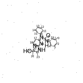 Cc1cccc(NC(=O)N(c2ccccc2)c2ccnc(NC(C)C(C)(C)O)n2)c1